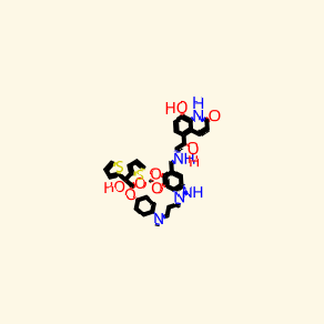 CN(CCCn1[nH]c2cc(CNC[C@H](O)c3ccc(O)c4[nH]c(=O)ccc34)c3c(c21)OCO3)[C@H]1CC[C@H](OC(=O)C(O)(c2cccs2)c2cccs2)CC1